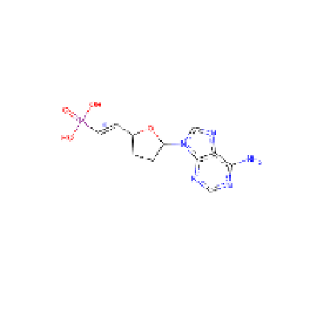 Nc1ncnc2c1ncn2C1CCC(/C=C/P(=O)(O)O)O1